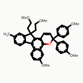 COCCC1(CCOC)c2cc(C)ccc2-c2c1c1c(c3cc(OC)ccc23)OC(c2ccc(OC)cc2)(c2ccc(OC)cc2)C=C1